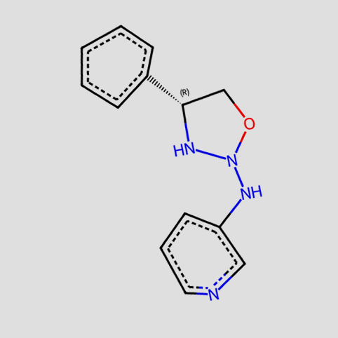 c1ccc([C@@H]2CON(Nc3cccnc3)N2)cc1